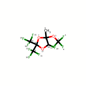 CC1(OC(F)(F)F)OC(C(F)(F)F)(C(F)(F)F)OC1F